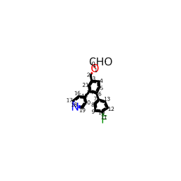 O=[C]OCc1ccc(-c2ccc(F)cc2)c(-c2ccncc2)c1